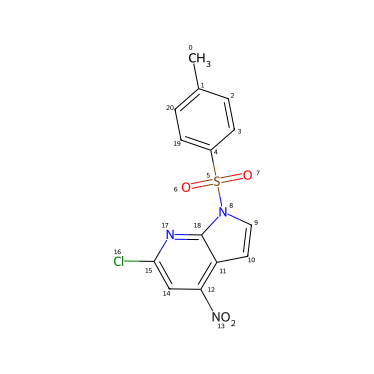 Cc1ccc(S(=O)(=O)n2ccc3c([N+](=O)[O-])cc(Cl)nc32)cc1